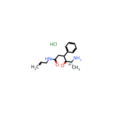 C=CCNC(=O)CC(C(=O)[C@@H](C)N)c1ccccc1.Cl